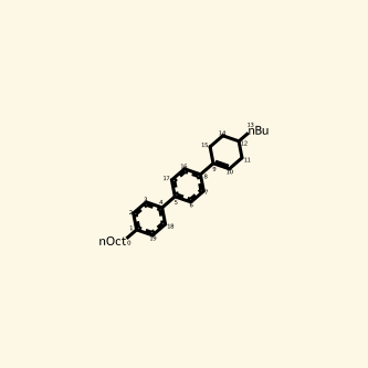 CCCCCCCCc1ccc(-c2ccc(C3=CCC(CCCC)CC3)cc2)cc1